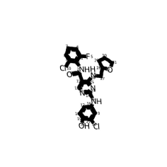 O=C(Nc1c(F)cccc1Cl)c1cnc(Nc2ccc(O)c(Cl)c2)nc1NCC1CCCO1